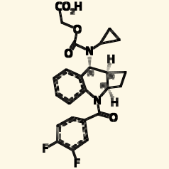 O=C(O)COC(=O)N(C1CC1)[C@H]1c2ccccc2N(C(=O)c2ccc(F)c(F)c2)[C@@H]2CC[C@@H]21